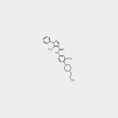 Cc1c(C(=O)Nc2ccc(N3CCN(CCO)CC3)c(C#N)c2)cnn1-c1ccccc1